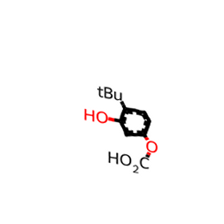 CC(C)(C)c1ccc(OC(=O)O)cc1O